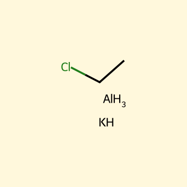 CCCl.[AlH3].[KH]